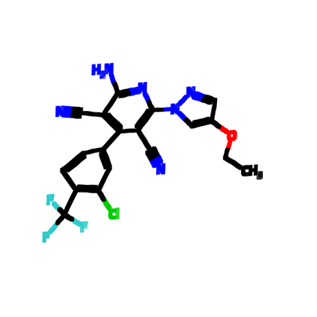 CCOc1cnn(-c2nc(N)c(C#N)c(-c3ccc(C(F)(F)F)c(Cl)c3)c2C#N)c1